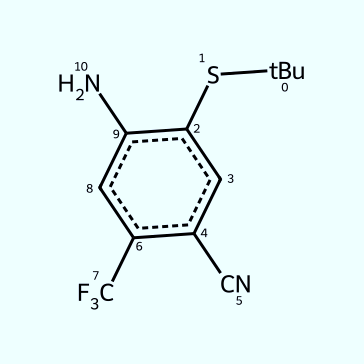 CC(C)(C)Sc1cc(C#N)c(C(F)(F)F)cc1N